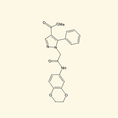 COC(=O)c1cnn(CC(=O)Nc2ccc3c(c2)OCCO3)c1-c1ccccc1